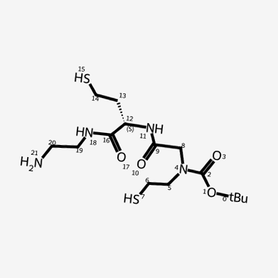 CC(C)(C)OC(=O)N(CCS)CC(=O)N[C@@H](CCS)C(=O)NCCN